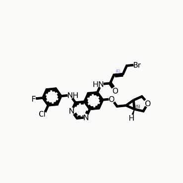 O=C(/C=C/CBr)Nc1cc2c(Nc3ccc(F)c(Cl)c3)ncnc2cc1OCC1C2COC[C@@H]21